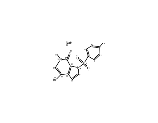 Cc1ccc(S(=O)(=O)n2ccc3c(Br)cn(C)c(=O)c32)cc1.[NaH]